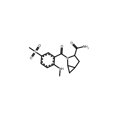 CNc1ccc(S(C)(=O)=O)cc1C(=O)N1C(C(N)=O)CC2CC21